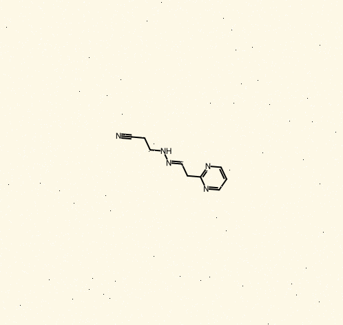 N#CCCNN=CCc1ncccn1